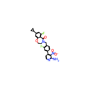 Nc1nccc(-c2ccc(CN3CCOc4cc(C5CC5)cc(F)c4C3=O)c(F)c2)c1[N+](=O)[O-]